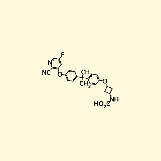 CC(C)(c1ccc(Oc2cc(F)cnc2C#N)cc1)c1ccc(O[C@H]2C[C@H](NC(=O)O)C2)cc1